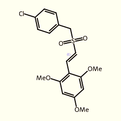 COc1cc(OC)c(/C=C/S(=O)(=O)Cc2ccc(Cl)cc2)c(OC)c1